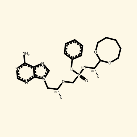 C[C@H](Cn1cnc2c(N)ncnc21)OCP(=O)(N[C@@H](C)C1OCCCCCO1)Oc1ccccc1